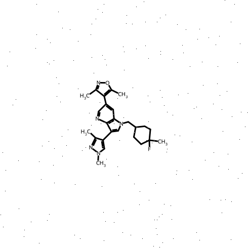 Cc1nn(C)cc1-c1cn(CC2CCC(C)(F)CC2)c2cc(-c3c(C)noc3C)cnc12